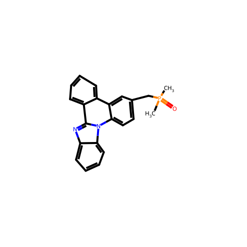 CP(C)(=O)Cc1ccc2c(c1)c1ccccc1c1nc3ccccc3n21